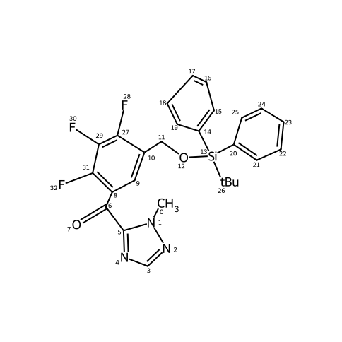 Cn1ncnc1C(=O)c1cc(CO[Si](c2ccccc2)(c2ccccc2)C(C)(C)C)c(F)c(F)c1F